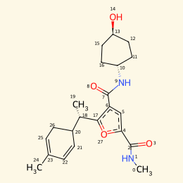 CNC(=O)c1cc(C(=O)N[C@H]2CC[C@H](O)CC2)c([C@@H](C)C2C=CC(C)=CC2)o1